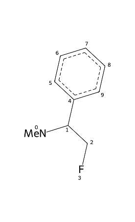 CNC(CF)c1ccccc1